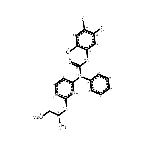 COC[C@H](C)Nc1nccc(N(C(=O)Nc2cc(Cl)c(Cl)cc2Cl)c2ccccc2)n1